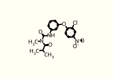 CC(C)C(=O)N(C)C(=O)Nc1cccc(Oc2ccc([N+](=O)[O-])cc2Cl)c1